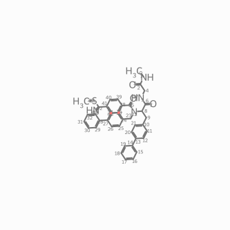 CNC(=O)CNC(=O)C(Cc1ccc(-c2ccccc2)cc1)N(Cc1ccc(-c2ccccc2)cc1)C(=O)c1ccc(C(=N)SC)cc1